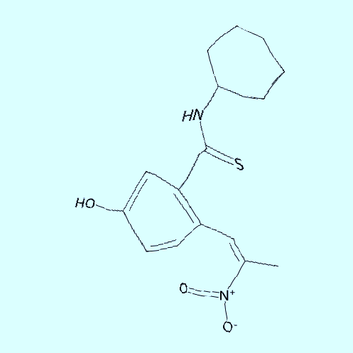 CC(=Cc1ccc(O)cc1C(=S)NC1CCCCC1)[N+](=O)[O-]